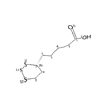 O=C(O)CCCC[C@@H]1CCSSS1